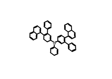 C1=CC2C=CC=C(c3ccc(N(C4=CCCC=C4)C4=CC(c5ccccc5)=C(c5cccc6ccccc56)CC4)cc3-c3ccccc3)C2C=C1